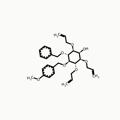 C=CCO[C@@H]1[C@@H](OCc2ccc(OC)cc2)[C@H](OCc2ccccc2)[C@@H](OCC=C)[C@@H](O)[C@H]1OCC=C